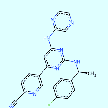 C[C@H](Nc1nc(Nc2cnccn2)cc(-c2ccc(C#N)nc2)n1)c1ccc(F)cc1